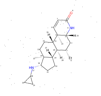 CC[C@H]1C[C@H]2NC(=O)C=C[C@]2(C)[C@H]2CC[C@]3(C)[C@@H](NC4CC4)CC[C@H]3[C@H]12